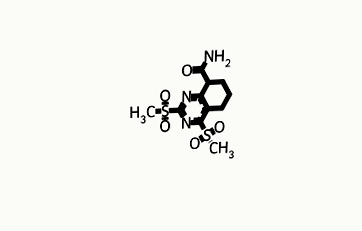 CS(=O)(=O)c1nc2c(c(S(C)(=O)=O)n1)CCCC2C(N)=O